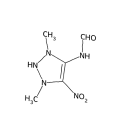 CN1NN(C)C([N+](=O)[O-])=C1NC=O